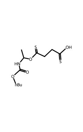 CCCCOC(=O)NC(C)OC(=S)CCC(O)=S